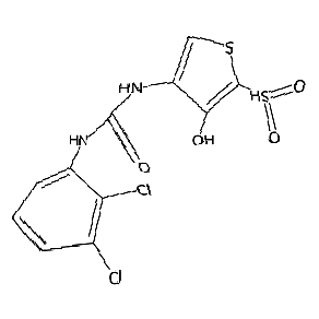 O=C(Nc1csc([SH](=O)=O)c1O)Nc1cccc(Cl)c1Cl